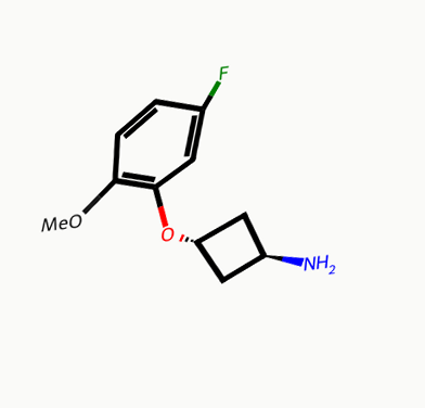 COc1ccc(F)cc1O[C@H]1C[C@H](N)C1